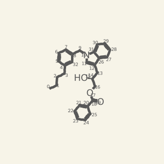 CCCCc1cccc(Cn2cc(C[C@H](O)COC(=O)c3ccccc3)c3ccccc32)c1